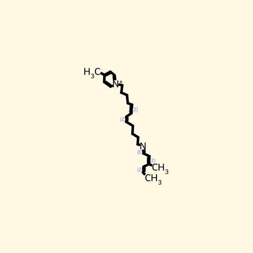 C\C=C/C(C)=C\C=N\CCCC/C=C\C=C/CCCC[n+]1ccc(C)cc1